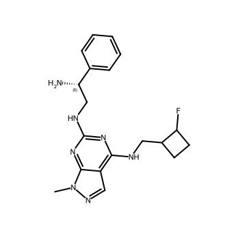 Cn1ncc2c(NCC3CCC3F)nc(NC[C@H](N)c3ccccc3)nc21